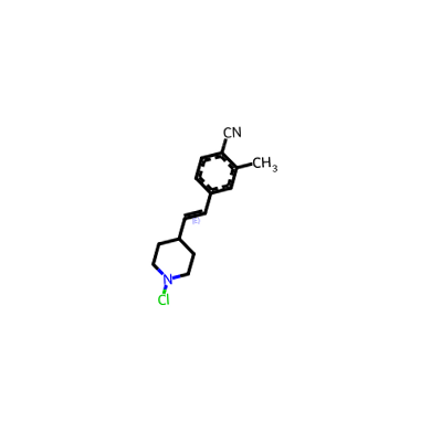 Cc1cc(/C=C/C2CCN(Cl)CC2)ccc1C#N